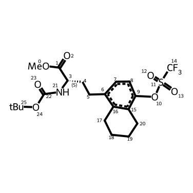 COC(=O)[C@H](CCc1ccc(OS(=O)(=O)C(F)(F)F)c2c1CCCC2)NC(=O)OC(C)(C)C